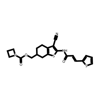 N#Cc1c(NC(=O)C=Cc2cccs2)sc2c1CCC(COC(=O)N1CCC1)C2